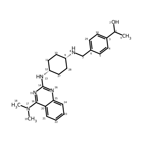 CC(O)c1ccc(CN[C@H]2CC[C@@H](Nc3nc(N(C)C)c4ccccc4n3)CC2)cc1